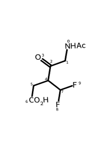 CC(=O)NCC(=O)C(CC(=O)O)C(F)F